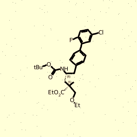 CCOC[C@](C)(C[C@@H](Cc1ccc(-c2cc(Cl)ccc2F)cc1)NC(=O)OC(C)(C)C)C(=O)OCC